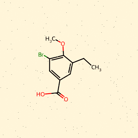 CCc1cc(C(=O)O)cc(Br)c1OC